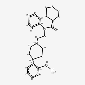 O=C(C1CCCCC1)N(CCN1CCN(c2ccccc2OC(F)(F)F)CC1)c1ccccn1